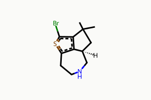 CC1(C)C[C@H]2CNCCc3sc(Br)c1c32